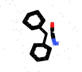 N=C=O.c1ccc(Cc2ccccc2)cc1